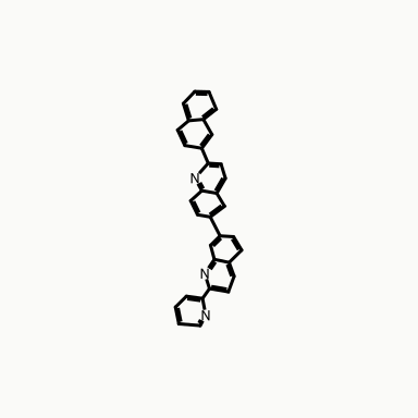 c1ccc(-c2ccc3ccc(-c4ccc5nc(-c6ccc7ccccc7c6)ccc5c4)cc3n2)nc1